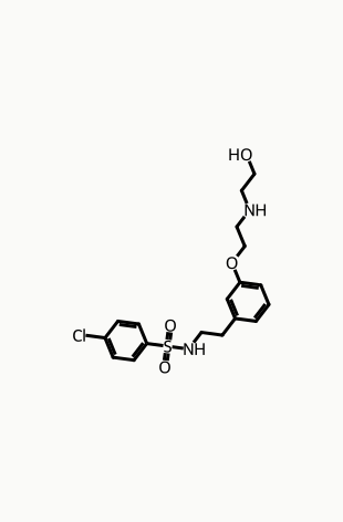 O=S(=O)(NCCc1cccc(OCCNCCO)c1)c1ccc(Cl)cc1